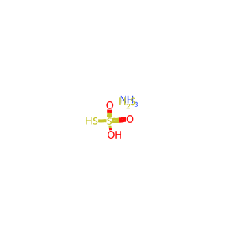 N.O=S(=O)(O)S.S